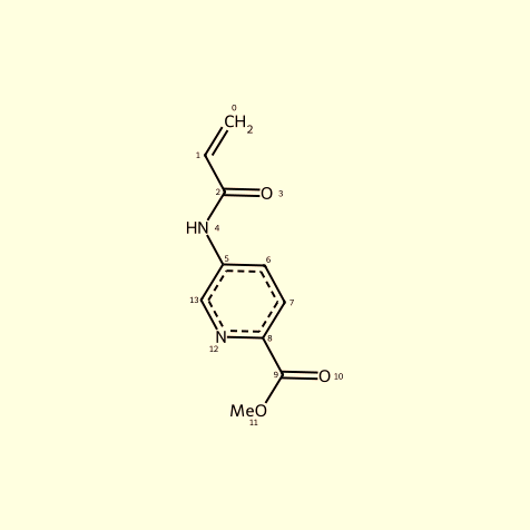 C=CC(=O)Nc1ccc(C(=O)OC)nc1